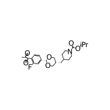 CC(C)OC(=O)N1CCC(C[C@H]2CO[C@@H](c3ccc(S(C)(=O)=O)c(F)c3)OC2)CC1